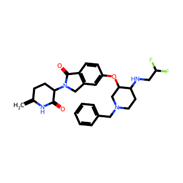 C=C1CCC(N2Cc3cc(OC4CN(Cc5ccccc5)CCC4NCC(F)F)ccc3C2=O)C(=O)N1